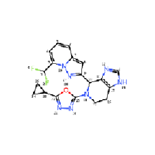 FC(F)c1cccc2cc(C3c4nc[nH]c4CCN3c3nnc(C4CC4)o3)nn12